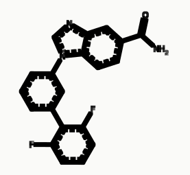 NC(=O)c1ccc2c(c1)ncn2-c1cccc(-c2c(F)cccc2F)c1